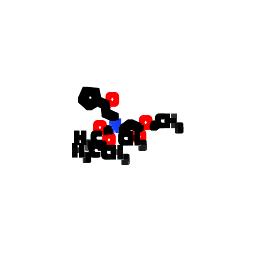 CCOC(=O)CC(C)N(CCC(=O)C1CCCC1)C(=O)OC(C)(C)C